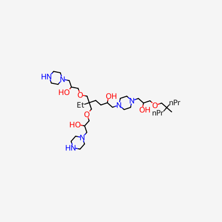 CCCC(C)(CCC)COCC(O)CN1CCN(CC(O)CCC(CC)(COCC(O)CN2CCNCC2)COCC(O)CN2CCNCC2)CC1